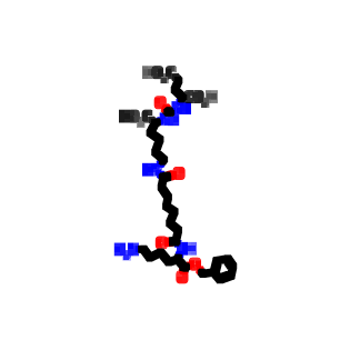 NCCCCC(NC(=O)CCCCCCC(=O)NCCCC[C@H](NC(=O)N[C@@H](CCC(=O)O)C(=O)O)C(=O)O)C(=O)OCc1ccccc1